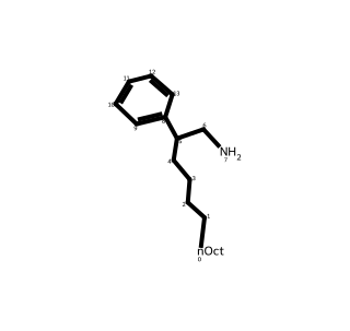 CCCCCCCCCCCCC(CN)c1ccccc1